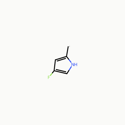 [CH2]c1cc(F)c[nH]1